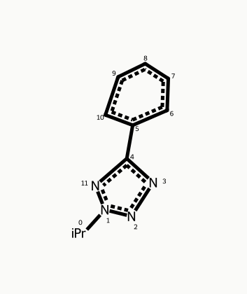 CC(C)n1nnc(-c2ccccc2)n1